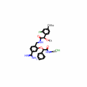 CCOC(C(=O)NCc1ccc(C(=N)N)cc1OC(C(=O)NC(C)C)c1ccccc1)c1ccc(OC)cc1F.Cl